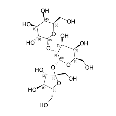 OC[C@H]1O[C@H](O[C@H]2[C@@H](O[C@]3(CO)O[C@H](CO)[C@@H](O)[C@@H]3O)O[C@H](CO)[C@H](O)[C@@H]2O)[C@H](O)[C@@H](O)[C@H]1O